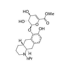 CCCN1CCC[C@@H]2Cc3c(ccc(O)c3O[C@@H]3OC(C(=O)OC)=C[C@H](O)[C@H]3O)C[C@H]21